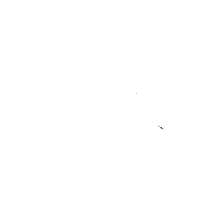 N[C@@]1(C(=O)O)C[C@@H](C(=O)O)N(C(=O)CCCCC(=O)O)C1